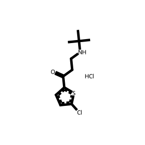 CC(C)(C)NCCC(=O)c1ccc(Cl)s1.Cl